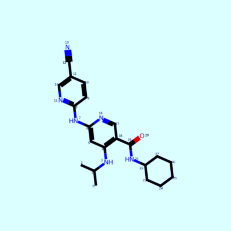 CC(C)Nc1cc(Nc2ccc(C#N)cn2)ncc1C(=O)NC1CCCCC1